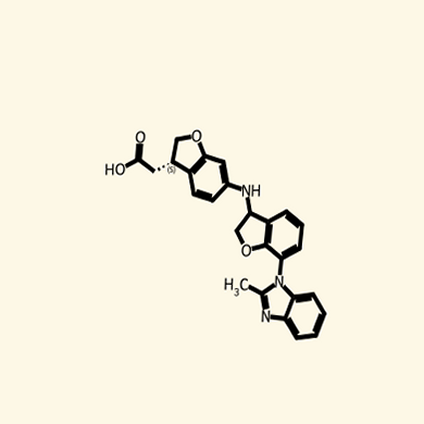 Cc1nc2ccccc2n1-c1cccc2c1OCC2Nc1ccc2c(c1)OC[C@H]2CC(=O)O